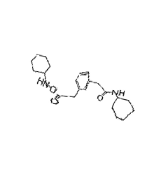 O=C(Cc1cccc(CC(=O)ONC2CCCCC2)c1)NC1CCCCC1